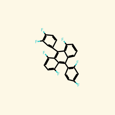 Fc1ccc(-c2c3cccc(F)c3c(-c3ccc(F)c(F)c3)c3c(F)ccc(F)c23)c(F)c1